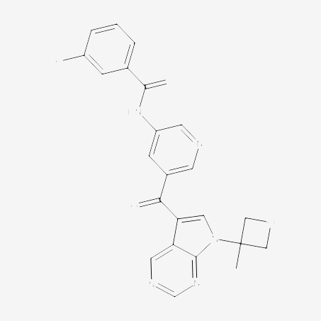 CC1(n2cc(C(=O)c3cncc(NC(=O)c4cccc(C(F)(F)F)c4)c3)c3cncnc32)COC1